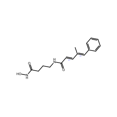 CC(/C=C/C(=O)NCCCC(=O)NO)=C\c1ccccc1